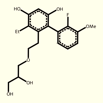 CCc1c(O)cc(O)c(-c2[c]ccc(OC)c2F)c1CCOCC(O)CO